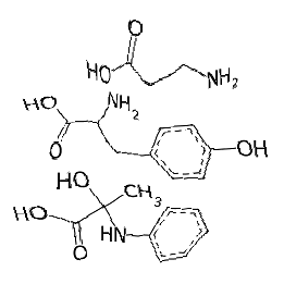 CC(O)(Nc1ccccc1)C(=O)O.NC(Cc1ccc(O)cc1)C(=O)O.NCCC(=O)O